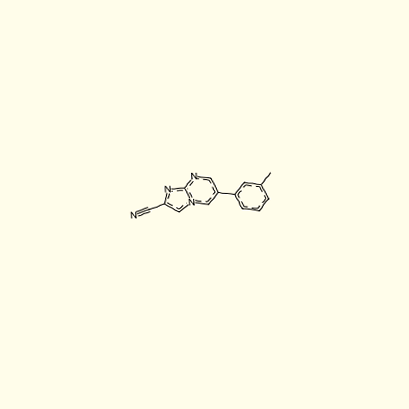 Cc1cccc(-c2cnc3nc(C#N)cn3c2)c1